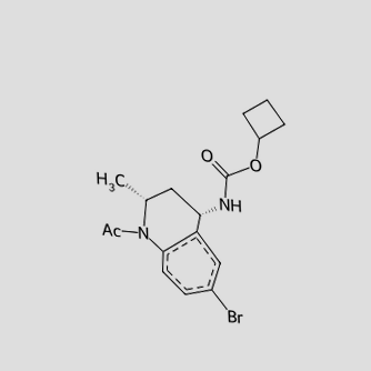 CC(=O)N1c2ccc(Br)cc2[C@@H](NC(=O)OC2CCC2)C[C@H]1C